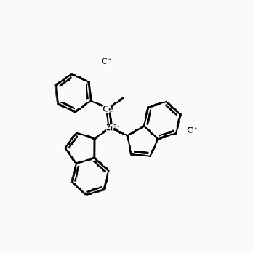 [CH3][Ge]([c]1ccccc1)=[Zr+2]([CH]1C=Cc2ccccc21)[CH]1C=Cc2ccccc21.[Cl-].[Cl-]